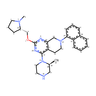 CN1CCC[C@H]1COc1nc2c(c(N3CCNC[C@@H]3C#N)n1)CCN(c1cccc3ccccc13)C2